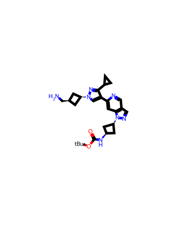 CC(C)(C)OC(=O)N[C@H]1C[C@H](n2ncc3cnc(-c4cn([C@H]5C[C@H](CN)C5)nc4C4CC4)cc32)C1